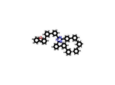 c1ccc(-c2cccc(-c3cccc(-c4ccc(-c5nc(-c6cccc(-c7cccc(-c8cccc9c8oc8ccccc89)c7)c6)nc(-c6ccccc6-c6cccc(-c7ccccc7)c6)n5)cc4)c3)c2)cc1